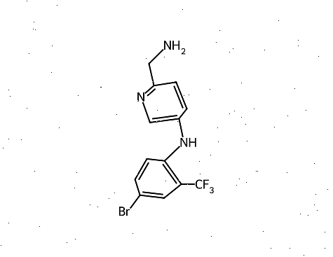 NCc1ccc(Nc2ccc(Br)cc2C(F)(F)F)cn1